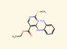 CCOC(=O)c1cnc(SC)nc1Nc1ccccc1N